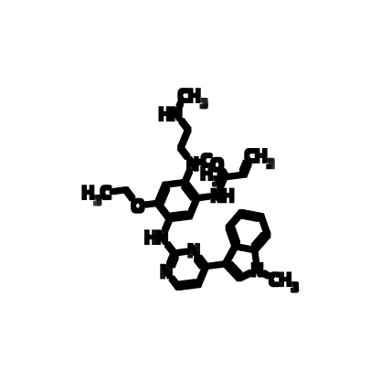 C=CC(=O)Nc1cc(Nc2nccc(-c3cn(C)c4ccccc34)n2)c(OCC)cc1N(C)CCNC